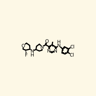 Cc1c(Nc2ccc(Cl)c(Cl)c2)ncnc1C(=O)N1CCC(N[C@@H]2CCOC[C@@H]2F)CC1